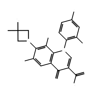 CC1(N)CN(c2c(F)cc3c(=O)c(C(=O)O)cn(-c4ccc(F)cc4F)c3c2Cl)C1